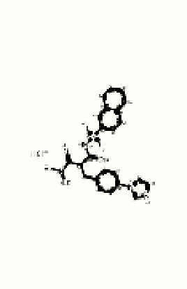 CCN(CC)C(=O)C(Cc1ccc(-n2ccnc2)cc1)C(=O)NS(=O)(=O)c1ccc2ccccc2c1.Cl